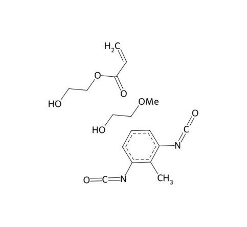 C=CC(=O)OCCO.COCCO.Cc1c(N=C=O)cccc1N=C=O